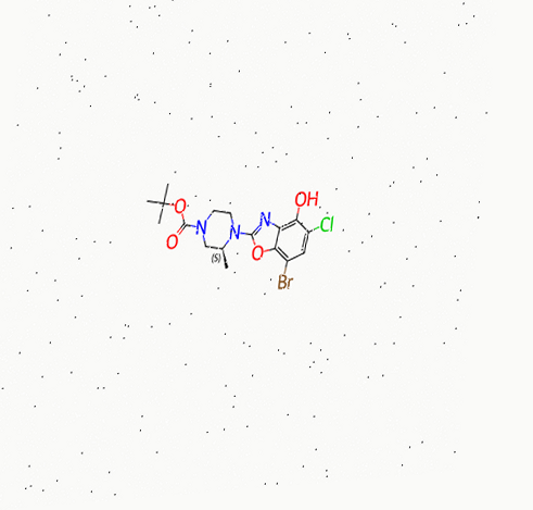 C[C@H]1CN(C(=O)OC(C)(C)C)CCN1c1nc2c(O)c(Cl)cc(Br)c2o1